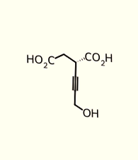 O=C(O)C[C@@H](C#CCO)C(=O)O